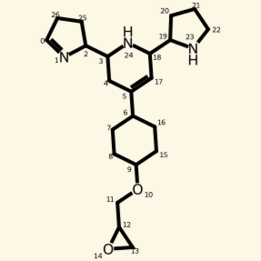 C1=NC(C2CC(C3CCC(OCC4CO4)CC3)=CC(C3CCCN3)N2)CC1